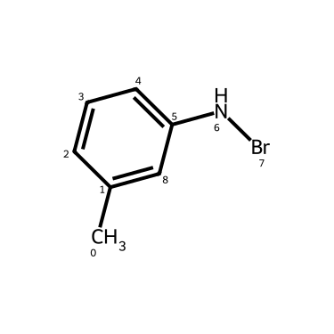 Cc1cccc(NBr)c1